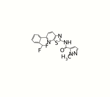 Cn1nccc1C(=O)Nc1nc2ccc(-c3ccccc3C(F)F)nc2s1